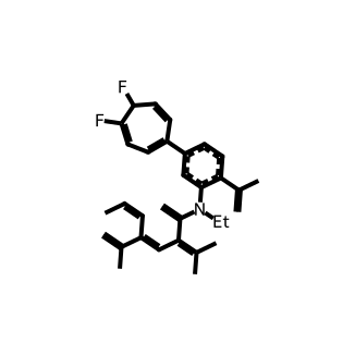 C=C(C)C(/C=C\C)=C/C(C(=C)N(CC)c1cc(C2=CC=C(F)C(F)C=C2)ccc1C(=C)C)=C(C)C